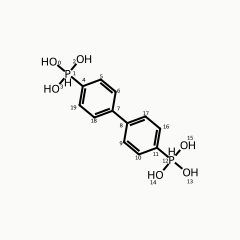 O[PH](O)(O)c1ccc(-c2ccc([PH](O)(O)O)cc2)cc1